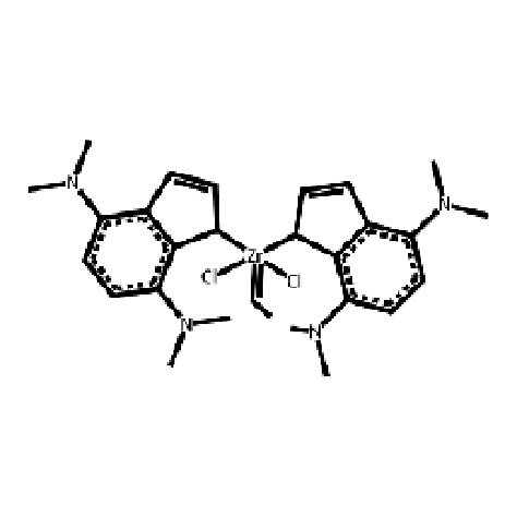 C[CH]=[Zr]([Cl])([Cl])([CH]1C=Cc2c(N(C)C)ccc(N(C)C)c21)[CH]1C=Cc2c(N(C)C)ccc(N(C)C)c21